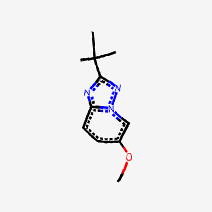 COc1ccc2nc(C(C)(C)C)nn2c1